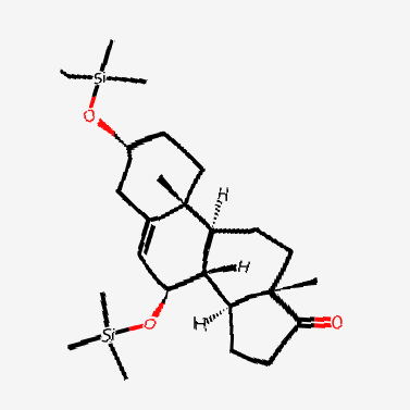 C[C@]12CC[C@H](O[Si](C)(C)C)CC1=C[C@H](O[Si](C)(C)C)[C@@H]1[C@@H]2CC[C@]2(C)C(=O)CC[C@@H]12